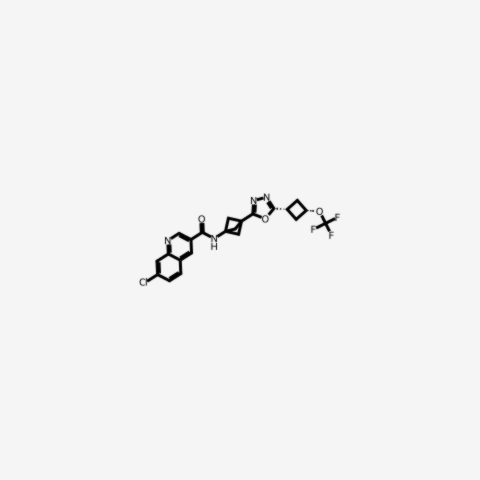 O=C(NC12CC(c3nnc([C@H]4C[C@@H](OC(F)(F)F)C4)o3)(C1)C2)c1cnc2cc(Cl)ccc2c1